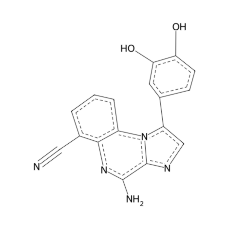 N#Cc1cccc2c1nc(N)c1ncc(-c3ccc(O)c(O)c3)n12